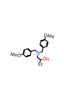 CCC(O)CN(Cc1ccc(OC)cc1)Cc1ccc(OC)cc1